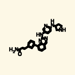 NC(=O)C=Cc1cccc(-c2cccc3cnc(Nc4ccc(NC5CCNC5)nc4)nc23)c1